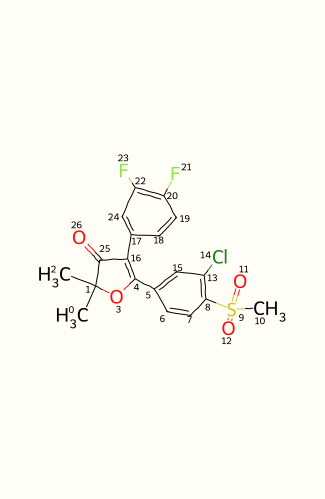 CC1(C)OC(c2ccc(S(C)(=O)=O)c(Cl)c2)=C(c2ccc(F)c(F)c2)C1=O